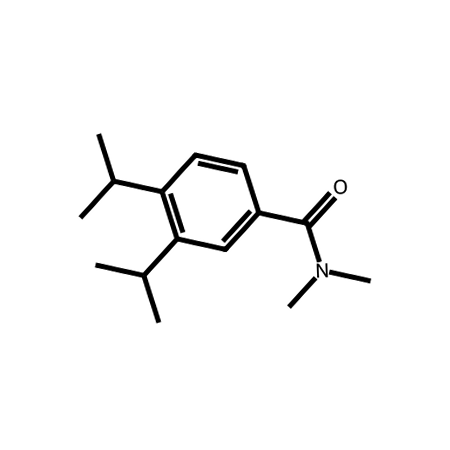 CC(C)c1ccc(C(=O)N(C)C)cc1C(C)C